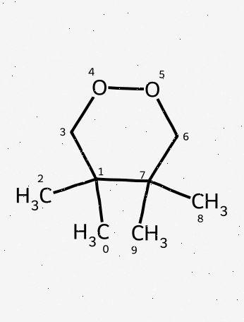 CC1(C)COOCC1(C)C